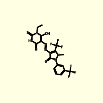 CCn1c(O)c(/N=N/c2c(C(F)(F)F)n(C)n(-c3cccc(C(F)(F)F)c3)c2=O)c(=O)[nH]c1=S